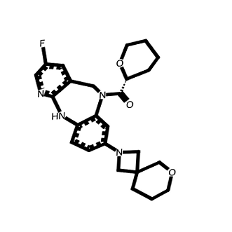 O=C([C@H]1CCCCO1)N1Cc2cc(F)cnc2Nc2ccc(N3CC4(CCCOC4)C3)cc21